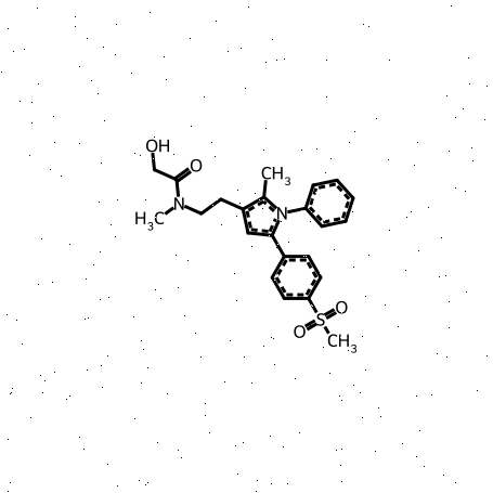 Cc1c(CCN(C)C(=O)CO)cc(-c2ccc(S(C)(=O)=O)cc2)n1-c1ccccc1